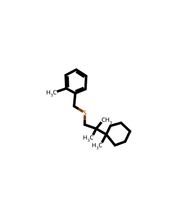 Cc1ccccc1CSCC(C)(C)C1(C)CCCCC1